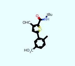 Cc1ccc(C(=O)O)cc1-c1cc(C=O)c(C(=O)NC(C)(C)C)s1